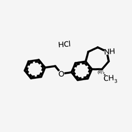 C[C@H]1CNCCc2cc(OCc3ccccc3)ccc21.Cl